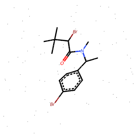 CC(c1ccc(Br)cc1)N(C)C(=O)C(Br)C(C)(C)C